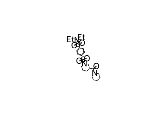 CCN(CC)S(=O)(=O)c1ccc(S(=O)(=O)N2CCCC(C(=O)N3CCCCC3)C2)cc1